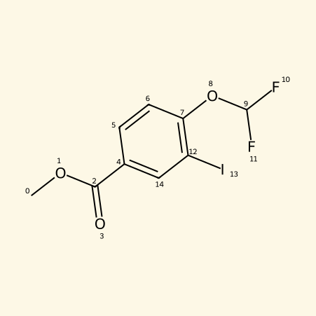 COC(=O)c1ccc(OC(F)F)c(I)c1